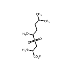 CN(C)CCN(C)S(=O)(=O)C[C@H](N)C(=O)O